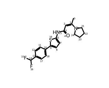 CC(=CC(=O)Nc1ccc(-c2ccc(C(F)F)cc2)s1)N1CCCC1